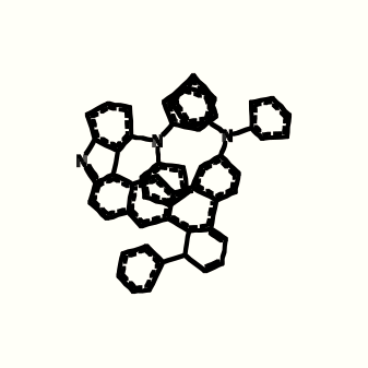 C1=CC(c2ccccc2)c2c(c3ccc(N(c4ccccc4)c4ccccc4)cc3c3cc4c5c(ccc4cc23)=Nc2cccc(N(c3ccccc3)c3ccccc3)c2-5)=C1